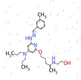 C=C(CCCOc1cc(N(CCC)CCC)cc(N/N=C/c2cccc(C)c2)n1)NCCO